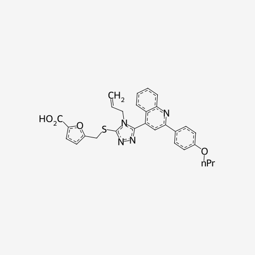 C=CCn1c(SCc2ccc(C(=O)O)o2)nnc1-c1cc(-c2ccc(OCCC)cc2)nc2ccccc12